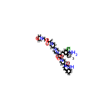 CC(C(=O)OCCN1CCOCC1)N1CCC(N2CCN(C(=O)[C@@H](Cc3cc(Cl)c(N)c(C(F)(F)F)c3)OC(=O)N3CCC(N4CCc5ccccc5NC4=O)CC3)CC2)CC1